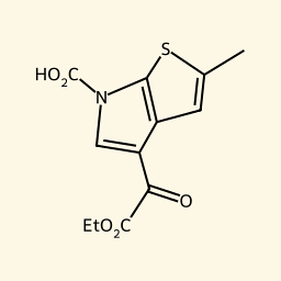 CCOC(=O)C(=O)c1cn(C(=O)O)c2sc(C)cc12